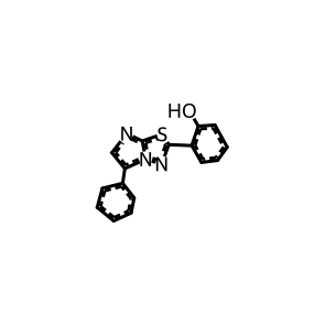 Oc1ccccc1-c1nn2c(-c3ccccc3)cnc2s1